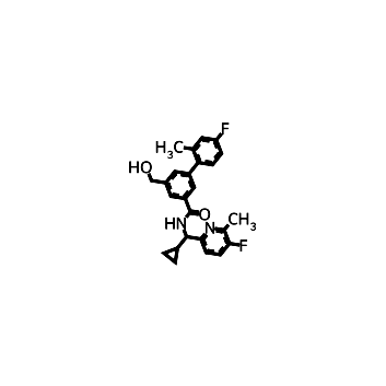 Cc1cc(F)ccc1-c1cc(CO)cc(C(=O)NC(c2ccc(F)c(C)n2)C2CC2)c1